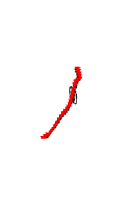 CCCCCCCC/C=C\CCCCCCCC(=O)OCCCCCCCCCCCCCCCCCCCCCCCCCCCCCCCCCCC